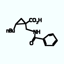 CCCCC1CC1(CNC(=O)c1ccccc1)C(=O)O